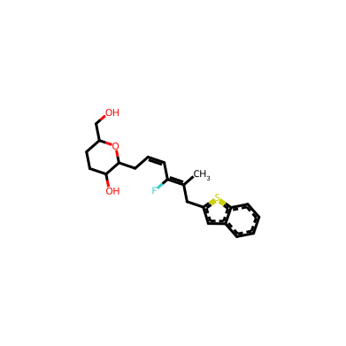 C/C(Cc1cc2ccccc2s1)=C(F)\C=C/CC1OC(CO)CCC1O